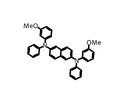 COc1cccc(N(c2ccccc2)c2ccc3cc(N(c4ccccc4)c4cccc(OC)c4)ccc3c2)c1